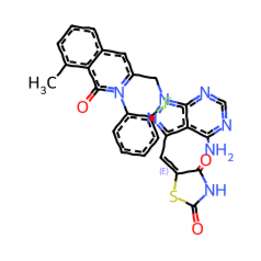 Cc1cccc2cc(Cn3nc(/C=C4/SC(=O)NC4=O)c4c(N)ncnc43)n(-c3ccccc3F)c(=O)c12